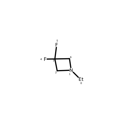 [CH2]CN1CC(F)(F)C1